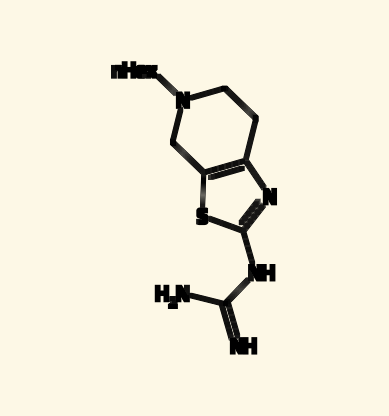 CCCCCCN1CCc2nc(NC(=N)N)sc2C1